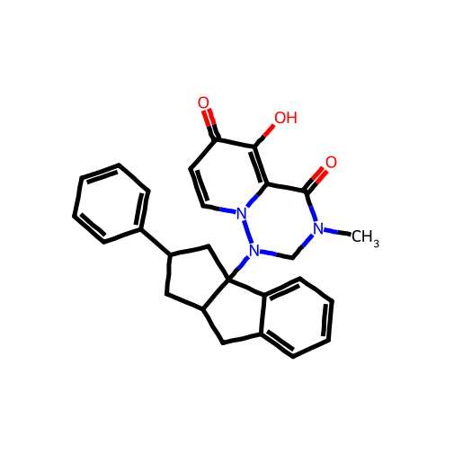 CN1CN(C23CC(c4ccccc4)CC2Cc2ccccc23)n2ccc(=O)c(O)c2C1=O